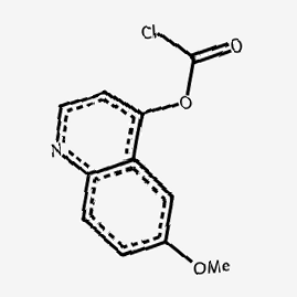 COc1ccc2nccc(OC(=O)Cl)c2c1